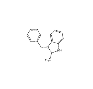 CC1Nc2ccccc2N1Cc1ccccc1